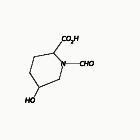 O=CN1CC(O)CCC1C(=O)O